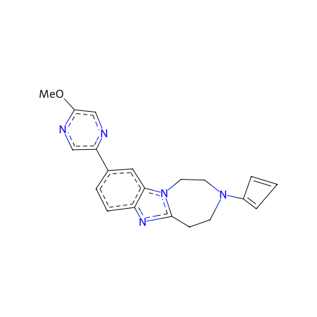 COc1cnc(-c2ccc3nc4n(c3c2)CCN(C2=CC=C2)CC4)cn1